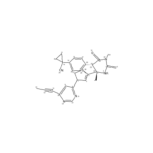 C=C1N[C@](C)(C2=CC(c3cc(C#CC)ncn3)CS2)[C@H](c2ccc(C3(C#N)CC3)cc2)C(=O)N1C